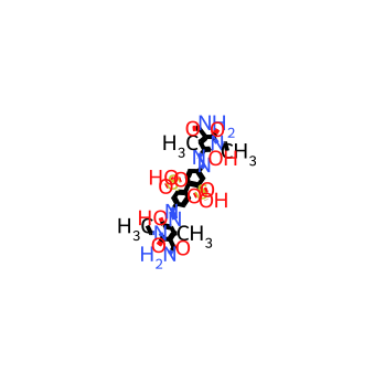 CCn1c(O)c(N=Nc2ccc(-c3ccc(N=Nc4c(C)c(C(N)=O)c(=O)n(CC)c4O)cc3S(=O)(=O)O)c(S(=O)(=O)O)c2)c(C)c(C(N)=O)c1=O